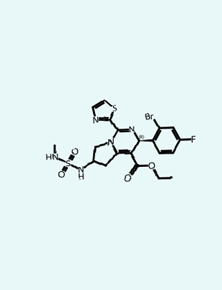 CCOC(=O)C1=C2CC(NS(=O)(=O)NC)CN2C(c2nccs2)=N[C@H]1c1ccc(F)cc1Br